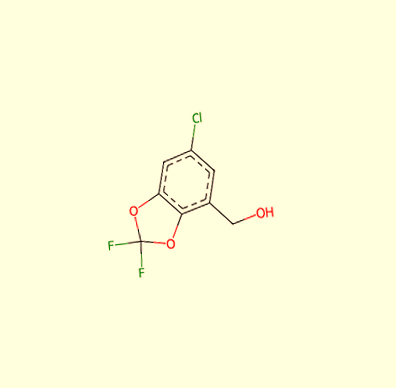 OCc1cc(Cl)cc2c1OC(F)(F)O2